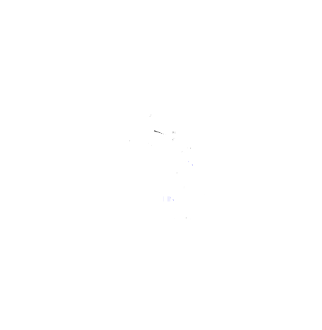 CC(C)(C)NC(=O)CN[C@H]1C[C@@H]1c1ccccc1